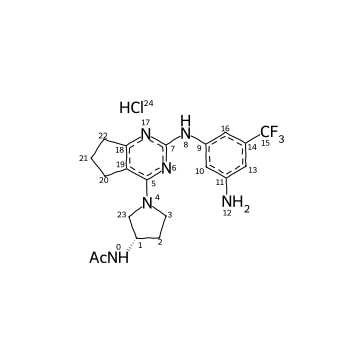 CC(=O)N[C@H]1CCN(c2nc(Nc3cc(N)cc(C(F)(F)F)c3)nc3c2CCC3)C1.Cl